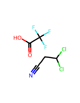 N#CCC(Cl)Cl.O=C(O)C(F)(F)F